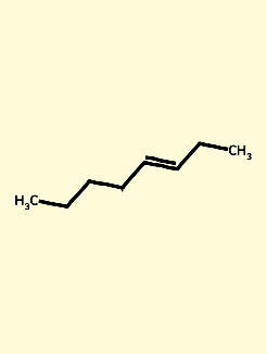 CC/C=C/[CH]CCC